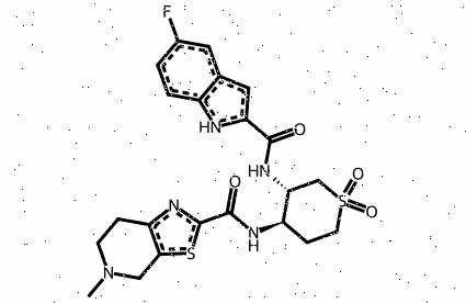 CN1CCc2nc(C(=O)N[C@@H]3CCS(=O)(=O)C[C@H]3NC(=O)c3cc4cc(F)ccc4[nH]3)sc2C1